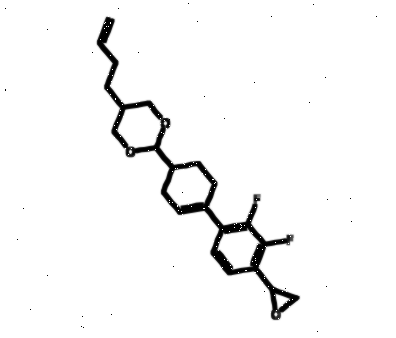 C=CCCC1COC(C2CC=C(c3ccc(C4CO4)c(F)c3F)CC2)OC1